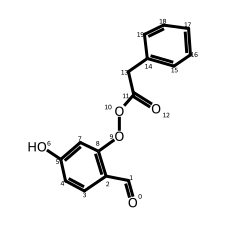 O=Cc1ccc(O)cc1OOC(=O)Cc1ccccc1